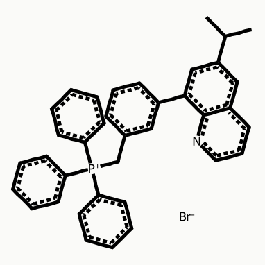 CC(C)c1cc(-c2cccc(C[P+](c3ccccc3)(c3ccccc3)c3ccccc3)c2)c2ncccc2c1.[Br-]